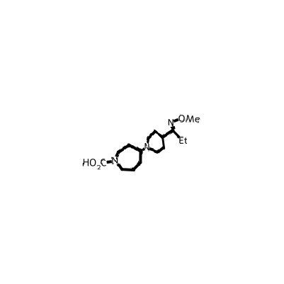 CCC(=NOC)C1CCN([C@H]2CCCN(C(=O)O)CC2)CC1